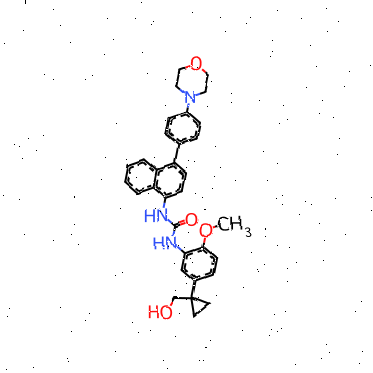 COc1ccc(C2(CO)CC2)cc1NC(=O)Nc1ccc(-c2ccc(N3CCOCC3)cc2)c2ccccc12